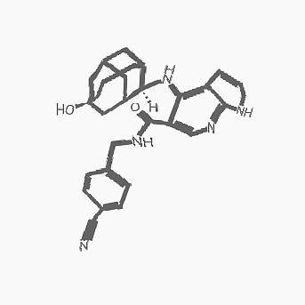 N#Cc1ccc(CNC(=O)c2cnc3[nH]ccc3c2N[C@H]2C3CC4CC2C[C@@](O)(C4)C3)cc1